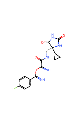 N=C(OC(=N)c1ccc(F)cc1)C(=O)NC[C@@]1(C2CC2)NC(=O)NC1=O